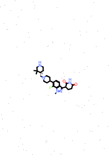 Cn1nc(C2CCC(=O)NC2=O)c2ccc(C3CCN(C[C@H]4CCNCC4(C)C)CC3)c(F)c21